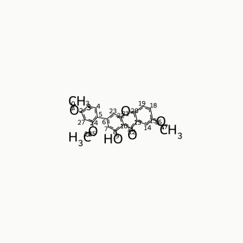 COc1ccc(-c2cc(O)c3c(=O)c4cc(OC)ccc4oc3c2)c(OC)c1